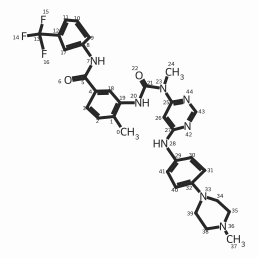 Cc1ccc(C(=O)Nc2cccc(C(F)(F)F)c2)cc1NC(=O)N(C)c1cc(Nc2ccc(N3CCN(C)CC3)cc2)ncn1